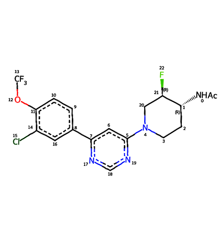 CC(=O)N[C@@H]1CCN(c2cc(-c3ccc(OC(F)(F)F)c(Cl)c3)ncn2)C[C@H]1F